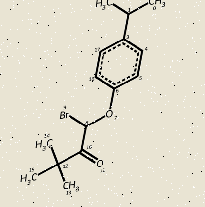 CC(C)c1ccc(OC(Br)C(=O)C(C)(C)C)cc1